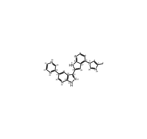 Cc1cn(-c2ccnc3[nH]c(-c4n[nH]c5ncc(-c6cnccn6)cc45)cc23)cn1